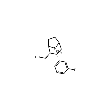 CN1C2CCC1[C@H](CO)[C@@H](c1cccc(F)c1)C2